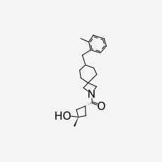 Cc1ccccc1CC1CCC2(CC1)CN(C(=O)[C@H]1C[C@@](C)(O)C1)C2